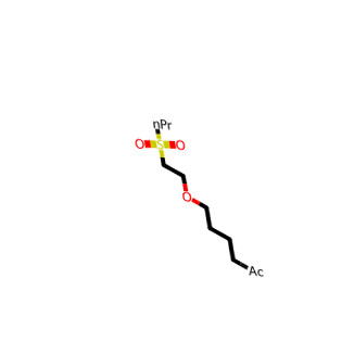 CCCS(=O)(=O)CCOCCCCC(C)=O